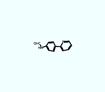 O=[C]Nc1ccc(-c2ccccn2)cc1